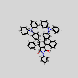 O=C1c2c(c(-c3ccccc3)c(-c3ccc(N(c4ccccc4)c4ccccc4)cc3)c(-c3ccc(N(c4ccccc4)c4ccccc4)cc3)c2-c2ccccc2)C(=O)N1c1ccccc1